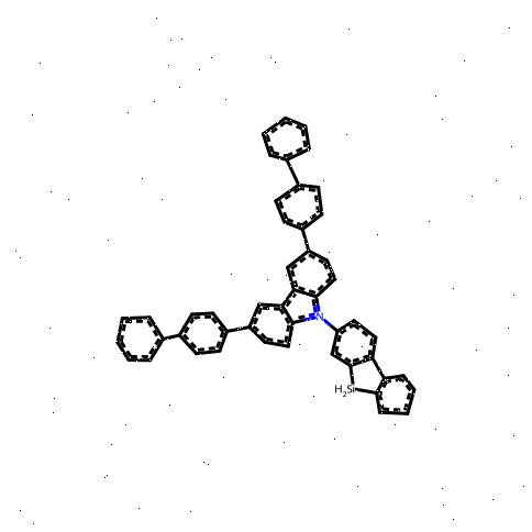 c1ccc(-c2ccc(-c3ccc4c(c3)c3cc(-c5ccc(-c6ccccc6)cc5)ccc3n4-c3ccc4c(c3)[SiH2]c3ccccc3-4)cc2)cc1